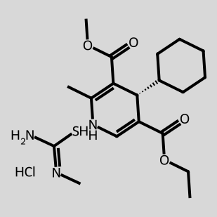 CCOC(=O)C1=CNC(C)=C(C(=O)OC)[C@@H]1C1CCCCC1.CN=C(N)S.Cl